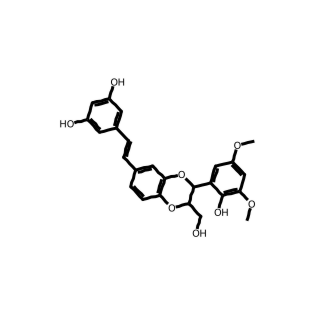 COc1cc(OC)c(O)c(C2Oc3cc(C=Cc4cc(O)cc(O)c4)ccc3OC2CO)c1